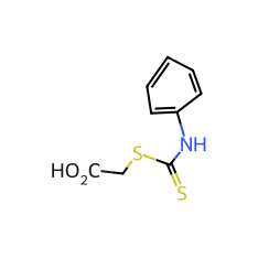 O=C(O)CSC(=S)Nc1ccccc1